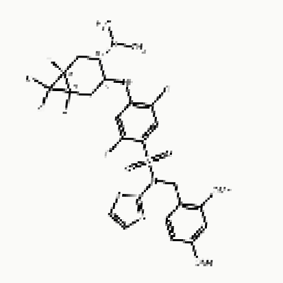 COc1ccc(CN(c2nccs2)S(=O)(=O)c2cc(Cl)c(N[C@H]3C[C@H]4[C@@H](C[C@@H]3N(C)C)C4(Cl)Cl)cc2F)c(OC)c1